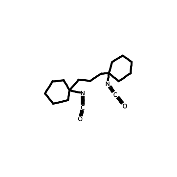 O=C=NC1(CCCC2(N=C=O)CCCCC2)CCCCC1